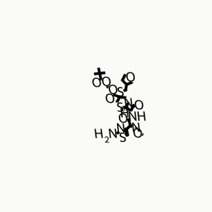 CON=C(C(=O)NC1C(=O)N2CC(SCC3CCOC3)(C(=O)OCOC(=O)C(C)(C)C)CS[C@H]12)c1csc(N)n1